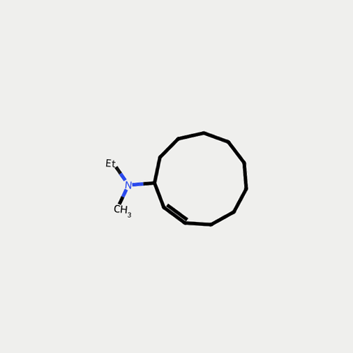 CCN(C)C1/C=C\CCCCCCCC1